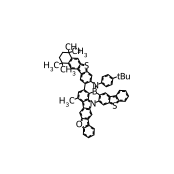 Cc1cc2c3c4c1c1cc5oc6ccccc6c5cc1n4-c1cc4sc5ccccc5c4cc1B3N(c1ccc(C(C)(C)C)cc1)c1cc3sc4cc5c(cc4c3cc1-2)C(C)(C)CCC5(C)C